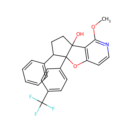 COc1nccc2c1C1(O)CCC(c3ccccc3)C1(c1ccc(C(F)(F)F)cc1)O2